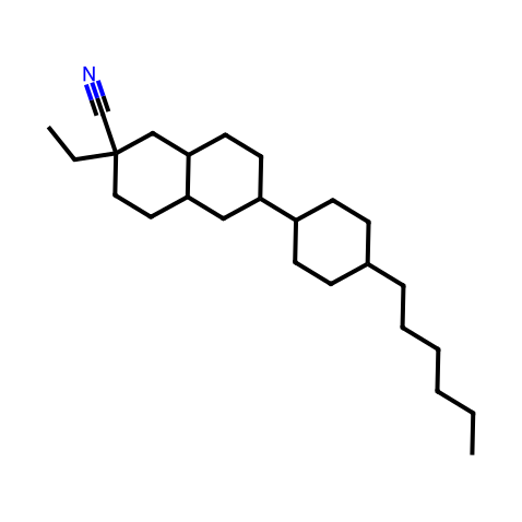 CCCCCCC1CCC(C2CCC3CC(C#N)(CC)CCC3C2)CC1